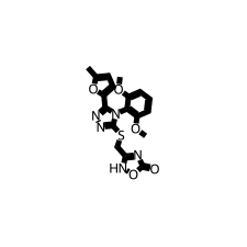 COc1cccc(OC)c1-n1c(SCc2nc(=O)o[nH]2)nnc1-c1ccc(C)o1